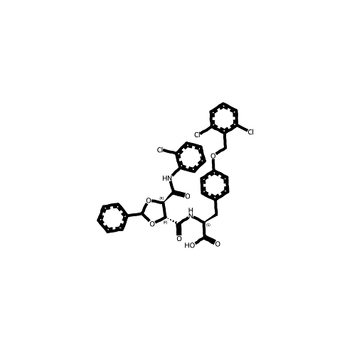 O=C(O)[C@H](Cc1ccc(OCc2c(Cl)cccc2Cl)cc1)NC(=O)[C@@H]1OC(c2ccccc2)O[C@H]1C(=O)Nc1ccccc1Cl